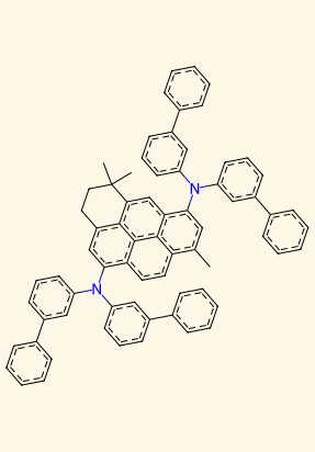 Cc1cc(N(c2cccc(-c3ccccc3)c2)c2cccc(-c3ccccc3)c2)c2cc3c4c(cc(N(c5cccc(-c6ccccc6)c5)c5cccc(-c6ccccc6)c5)c5ccc1c2c54)CCC3(C)C